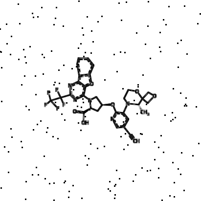 C#Cc1cnc(O[C@H]2C[C@@H](C(=O)O)N(c3nc(C(F)(F)C(F)(F)F)nc4c3oc3ccccc34)C2)c(N2CCOC3(COC3)[C@@H]2C)c1